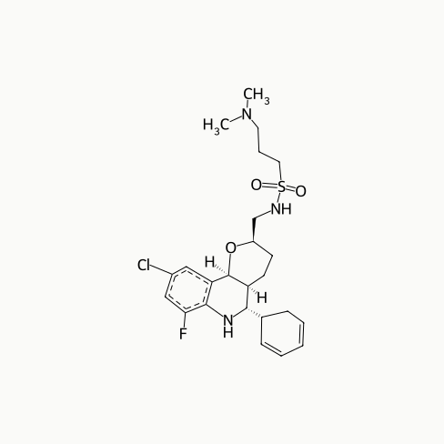 CN(C)CCCS(=O)(=O)NC[C@H]1CC[C@@H]2[C@H](O1)c1cc(Cl)cc(F)c1N[C@H]2C1C=CC=CC1